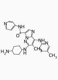 Cc1ccc(Nc2c(C)c(NC3CCC(N)CC3)nn3c(C(=O)Nc4ccncc4)cnc23)nc1